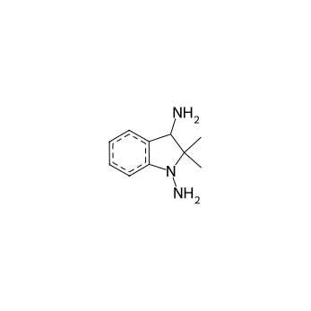 CC1(C)C(N)c2ccccc2N1N